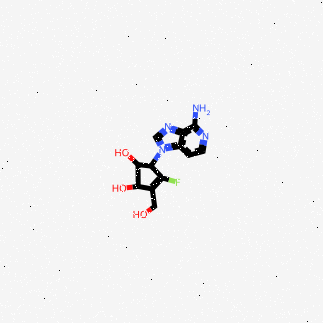 Nc1nccc2c1ncn2C1C(F)=C(CO)C(O)C1O